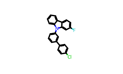 Fc1ccc2c3ccccc3n(-c3cccc(-c4ccc(Cl)cc4)c3)c2c1